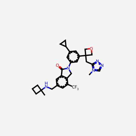 Cn1cnnc1CC1(c2cc(C3CC3)cc(N3Cc4c(cc(CNC5(C)CCC5)cc4C(F)(F)F)C3=O)c2)COC1